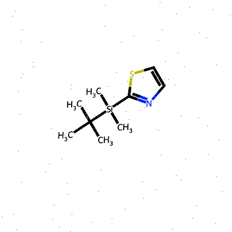 CC(C)(C)[Si](C)(C)c1nccs1